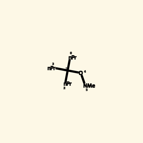 CCCC(CCC)(CCC)ONC